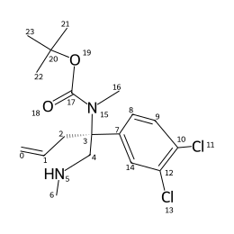 C=CC[C@@](CNC)(c1ccc(Cl)c(Cl)c1)N(C)C(=O)OC(C)(C)C